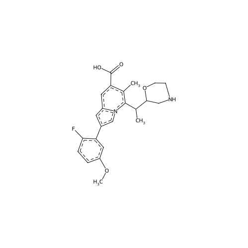 COc1ccc(F)c(-c2cc3cc(C(=O)O)c(C)c(C(C)C4CNCCO4)n3c2)c1